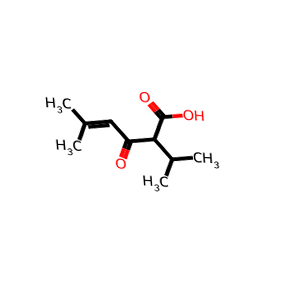 CC(C)=CC(=O)C(C(=O)O)C(C)C